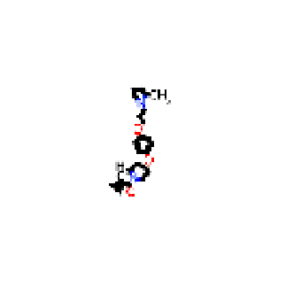 CC1CCCN1CCCOc1ccc(OC2CCN(C(=O)C3(C)CC3)CC2)cc1